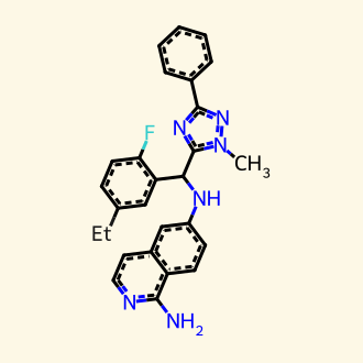 CCc1ccc(F)c(C(Nc2ccc3c(N)nccc3c2)c2nc(-c3ccccc3)nn2C)c1